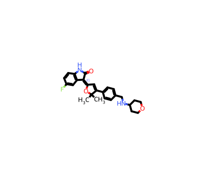 CC1(C)O/C(=C2/C(=O)Nc3ccc(F)cc32)C=C1c1ccc(CNC2CCOCC2)cc1